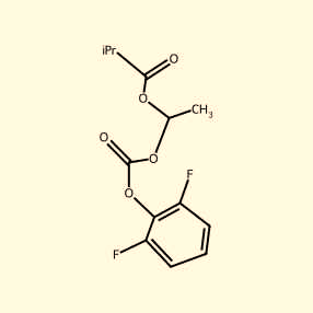 CC(OC(=O)Oc1c(F)cccc1F)OC(=O)C(C)C